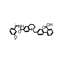 COc1cccc([C@H](C)NC(=O)c2ccc3c(c2)CCCN3Cc2ccc(-c3ccccc3C(=O)O)cc2)c1